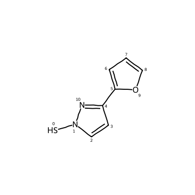 Sn1ccc(-c2ccco2)n1